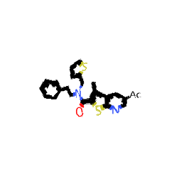 CC(=O)c1cnc2sc(C(=O)N(CCc3ccccc3)Cc3cccs3)c(C)c2c1